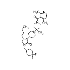 CCCCC1CN(CC2CCC(F)(F)CC2)C(=O)N1C1CCN(C2(C)CCN(C(=O)c3c(C)ccnc3C)CC2)CC1